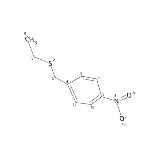 CCS[CH]c1ccc([N+](=O)[O-])cc1